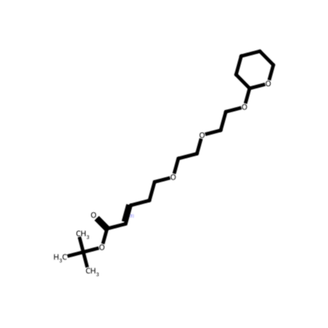 CC(C)(C)OC(=O)/C=C/CCOCCOCCOC1CCCCO1